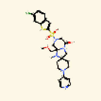 COCC12CN(S(=O)(=O)c3cc4ccc(Cl)cc4s3)CC(=O)N1CC1(CCN(c3ccncc3)CC1)N2C